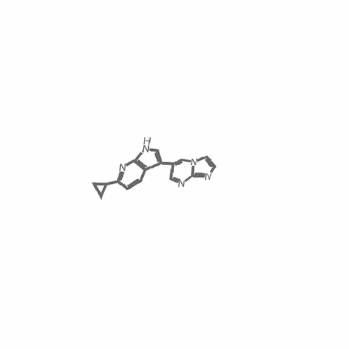 c1cn2cc(-c3c[nH]c4nc(C5CC5)ccc34)cnc2n1